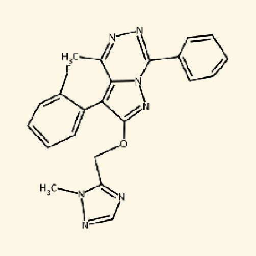 Cc1nnc(-c2ccccc2)n2nc(OCc3ncnn3C)c(-c3ccccc3F)c12